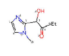 CCC(=O)C(O)c1nccn1C